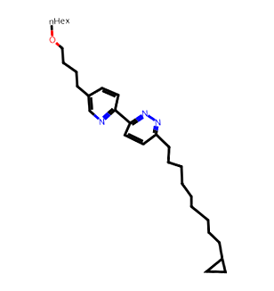 CCCCCCOCCCCc1ccc(-c2ccc(CCCCCCCCCC3CC3)nn2)nc1